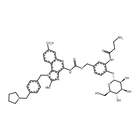 CCCCc1nc2c(NC(=O)OCc3ccc(O[C@H]4O[C@H](CO)[C@@H](O)[C@H](O)[C@@H]4O)c(NC(=O)CCN)c3)nc3cc(C(=O)O)ccc3c2n1Cc1ccc(CN2CCCC2)cc1